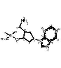 CC(C)(C)[Si](C)(C)OC1C[C@H](n2cnc3cncnc32)C[C@@H]1CN